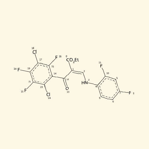 CCOC(=O)C(=CNc1ccc(F)cc1F)C(=O)c1c(F)c(Cl)c(F)c(F)c1Cl